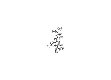 CCOc1c([C@H]2C[C@@](C)(C(F)(F)F)O[C@@H]2C(=O)Nc2ccnc([C@H](O)CO)c2)ccc(F)c1F